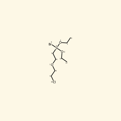 CCO[Si](Br)(CCOCCCl)OCC